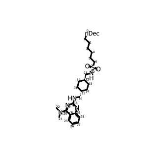 CCCCCCCCCCCCCCCCS(=O)(=O)NC[C@H]1CC[C@H](CNc2nc(N(C)C)c3ccccc3n2)CC1